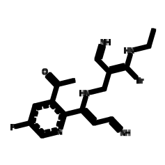 CCN/C(Br)=C(\C=N)CN/C(=C\C=N)c1ncc(F)cc1C(C)=O